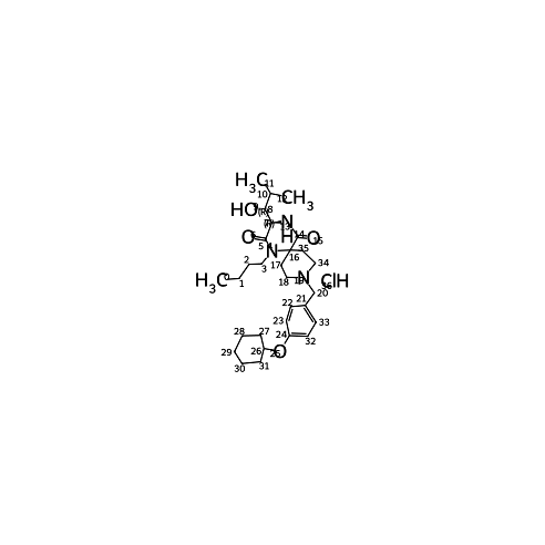 CCCCN1C(=O)[C@@H]([C@H](O)C(C)C)NC(=O)C12CCN(Cc1ccc(OC3CCCCC3)cc1)CC2.Cl